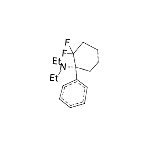 CCN(CC)[C@@]1(c2ccccc2)CCCCC1(F)F